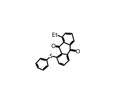 CCc1cccc2c1C(=O)c1c(Sc3ccccc3)cccc1C2=O